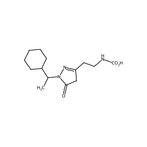 CC(C1CCCCC1)N1N=C(CCNC(=O)O)CC1=O